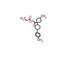 C=CC(=O)OCC(=O)C1(C2CCC(c3ccc(C)cc3)CC2)CCC(C)CC1